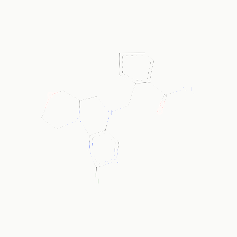 NC(=O)c1ccccc1CN1CC2COCCN2c2nc(Cl)ncc21